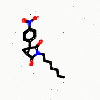 CCCCCCCN1C(=O)C2CC2(c2ccc([N+](=O)[O-])cc2)C1=O